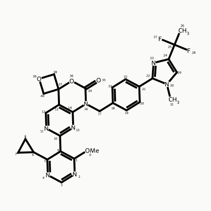 COc1ncnc(C2CC2)c1-c1ncc2c(n1)N(Cc1ccc(-c3nc(C(C)(F)F)cn3C)cc1)C(=O)OC21COC1